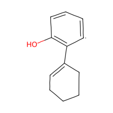 Oc1ccc[c]c1C1=CCCCC1